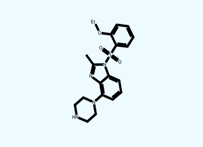 CCOc1ccccc1S(=O)(=O)n1c(C)nc2c(N3CCNCC3)cccc21